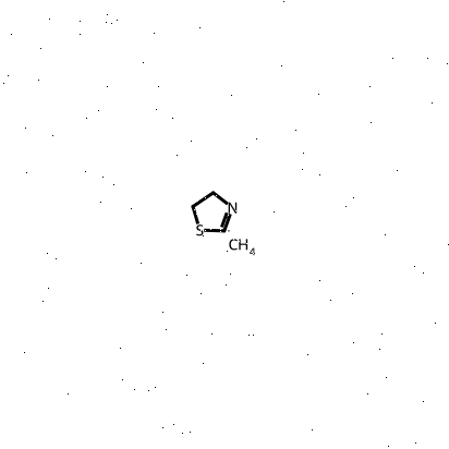 C.[C]1=NCCS1